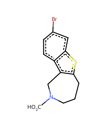 O=C(O)N1CCCc2sc3cc(Br)ccc3c2C1